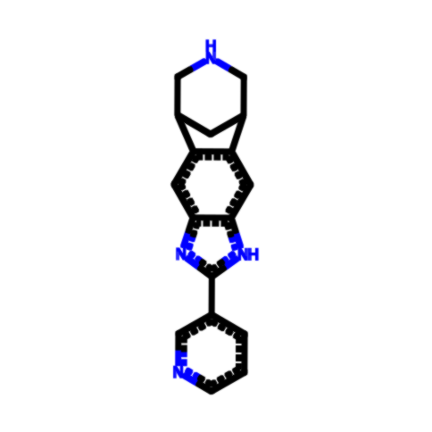 c1cncc(-c2nc3cc4c(cc3[nH]2)C2CNCC4C2)c1